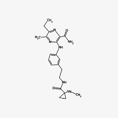 CCc1nc(C(N)=O)c(Nc2cccc(CCNC(=O)C3(NC)CC3)c2)nc1C